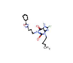 CCCCn1c(=O)n(CCCc2noc(-c3ccccc3)n2)c(=O)c2[nH]c(Cl)nc21